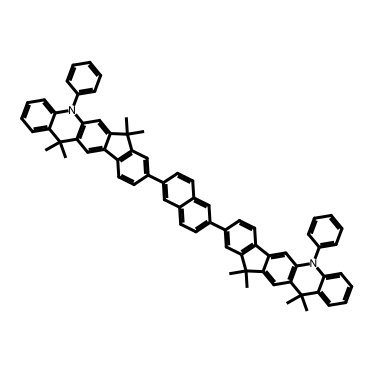 CC1(C)c2cc(-c3ccc4cc(-c5ccc6c(c5)C(C)(C)c5cc7c(cc5-6)N(c5ccccc5)c5ccccc5C7(C)C)ccc4c3)ccc2-c2cc3c(cc21)N(c1ccccc1)c1ccccc1C3(C)C